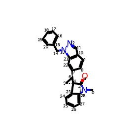 CN1C(=O)[C@@]2(C[C@H]2c2ccc3cnn(Cc4ccccc4)c3c2)c2ccccc21